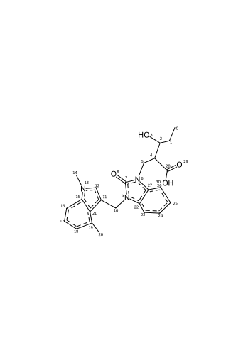 CCC(O)C(Cn1c(=O)n(Cc2cn(C)c3cccc(C)c23)c2ccccc21)C(=O)O